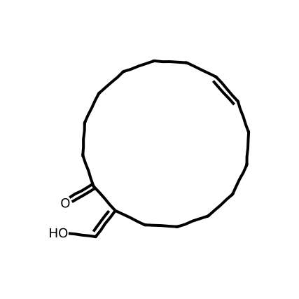 O=C1CCCCCCC=CCCCCCCC1=CO